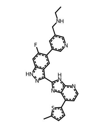 CCNCc1cncc(-c2cc3c(-c4nc5c(-c6ccc(C)s6)ccnc5[nH]4)n[nH]c3cc2F)c1